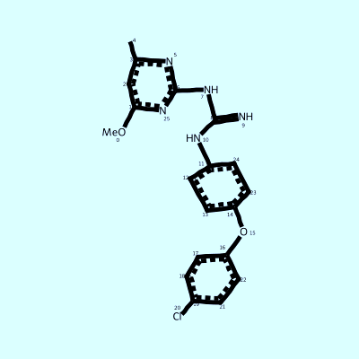 COc1cc(C)nc(NC(=N)Nc2ccc(Oc3ccc(Cl)cc3)cc2)n1